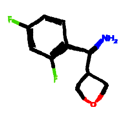 NC(c1ccc(F)cc1F)C1COC1